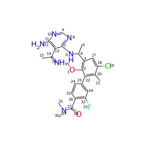 COc1c(C(C)Nc2ncnc(N)c2C(C)=N)cc(Cl)c(C)c1-c1ccc(C(=O)N(C)C)c(F)c1